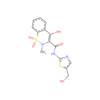 CN1C(C(=O)Nc2ncc(CO)s2)=C(O)c2ccccc2S1(=O)=O